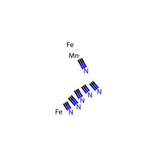 C#N.C#N.C#N.C#N.C#N.C#N.[Fe].[Fe].[Mn]